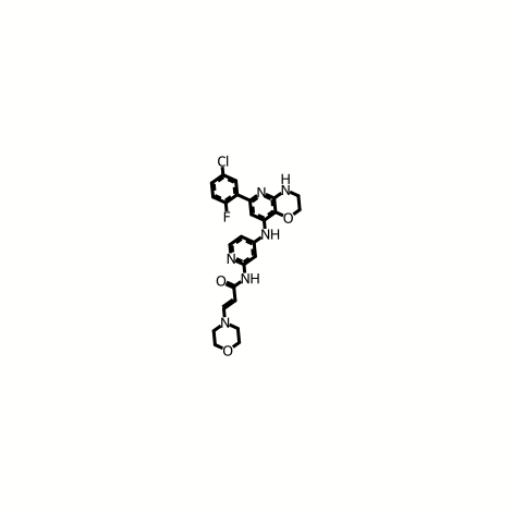 O=C(C=CN1CCOCC1)Nc1cc(Nc2cc(-c3cc(Cl)ccc3F)nc3c2OCCN3)ccn1